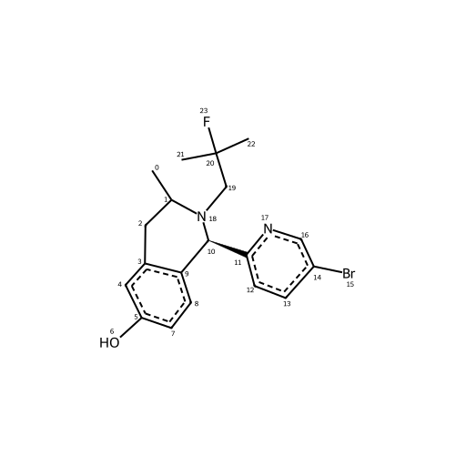 CC1Cc2cc(O)ccc2[C@H](c2ccc(Br)cn2)N1CC(C)(C)F